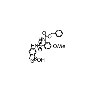 COc1ccc(S(=O)(=O)Nc2ccc3c(c2)B(O)OC3)c(NC(=O)OCc2ccccc2)c1